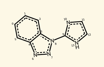 c1ccc2c(c1)nnn2-c1ncc[nH]1